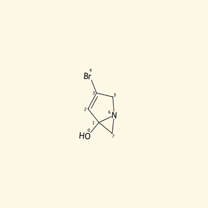 OC12C=C(Br)CN1C2